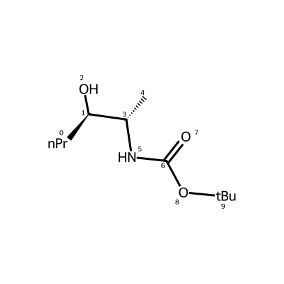 CCC[C@@H](O)[C@H](C)NC(=O)OC(C)(C)C